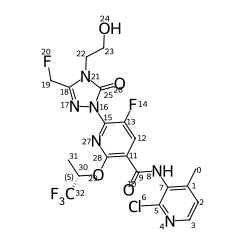 Cc1ccnc(Cl)c1NC(=O)c1cc(F)c(-n2nc(CF)n(CCO)c2=O)nc1O[C@@H](C)C(F)(F)F